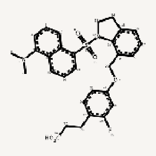 CN(C)c1cccc2c(S(=O)(=O)N3CCc4cccc(COc5ccc(CCC(=O)O)c(F)c5)c43)cccc12